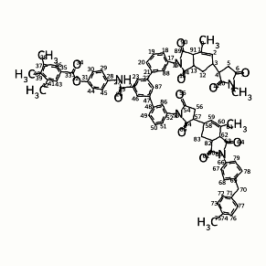 CC1=CC(C2CC(=O)N(C)C2=O)CC2C(=O)N(c3cccc(-c4cc(C(=O)Nc5ccc(OC(=O)c6cc(C)c(C)c(C)c6)cc5)cc(-c5cccc(N6C(=O)CC(C7C=C(C)C8C(=O)N(c9ccc(Cc%10ccc(C)cc%10)cc9)C(=O)C8C7)C6=O)c5)c4)c3)C(=O)C12